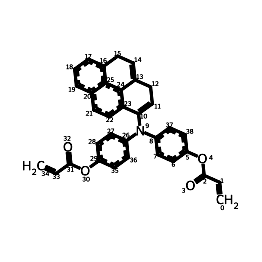 C=CC(=O)Oc1ccc(N(C2=CCC3=CCc4cccc5ccc2c3c45)c2ccc(OC(=O)C=C)cc2)cc1